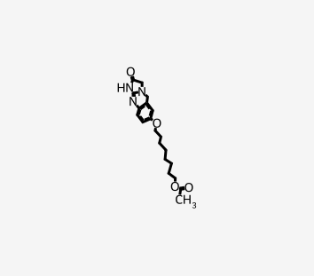 CC(=O)OCCCCCCCCOc1ccc2c(c1)CN1CC(=O)NC1=N2